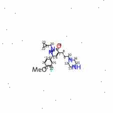 COc1ccc(-c2cc(CCCN3CCNCC3)c(=O)n(CC3CC3)n2)cc1F